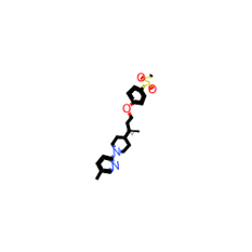 Cc1ccc(N2CCC([C@H](C)CCOc3ccc(S(C)(=O)=O)cc3)CC2)nc1